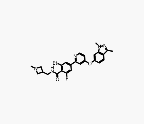 CCc1cc(-c2cc(Oc3ccc4c(C)nn(C)c4c3)ccn2)cc(F)c1C(=O)NCC1CN(C)C1